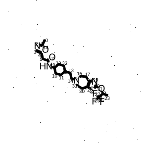 Cc1ncc(CC(=O)NC2CCC(CCN3CCc4nc(OC(C)C(F)(F)F)sc4CC3)CC2)o1